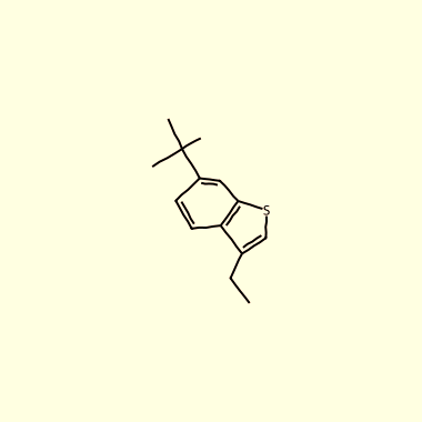 CCc1csc2cc(C(C)(C)C)ccc12